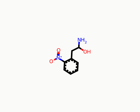 NC(O)Cc1ccccc1[N+](=O)[O-]